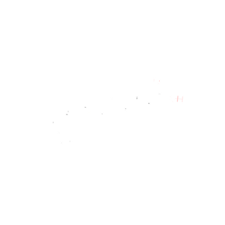 O=C(O)CCCCCSc1ccc(F)cc1